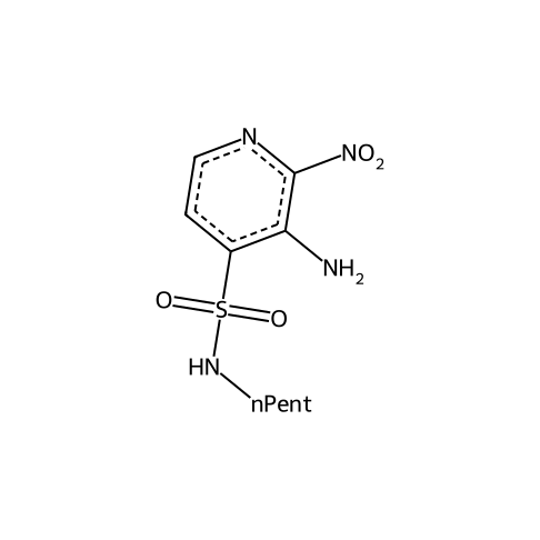 CCCCCNS(=O)(=O)c1ccnc([N+](=O)[O-])c1N